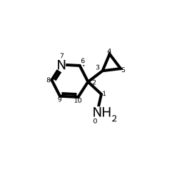 NCC1(C2CC2)[CH]N=CC=C1